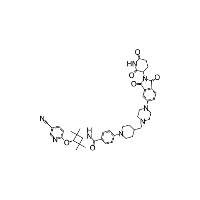 CC1(C)[C@H](NC(=O)c2ccc(N3CCC(CN4CCN(c5ccc6c(c5)C(=O)N(C5CCC(=O)NC5=O)C6=O)CC4)CC3)cc2)C(C)(C)[C@H]1Oc1ccc(C#N)cn1